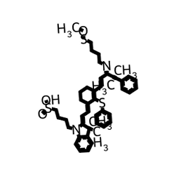 COSCCCC/N=C(\C=C\C1=C(Sc2ccccc2)C(=C/C=C2/N(CCCCS(=O)O)c3ccccc3C2(C)C)/CCC1)C(C)(C)c1ccccc1